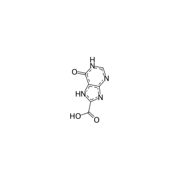 O=C(O)c1nc2nc[nH]c(=O)c2[nH]1